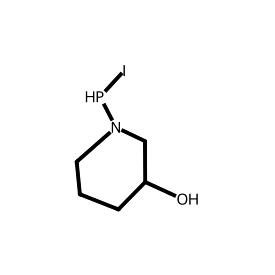 OC1CCCN(PI)C1